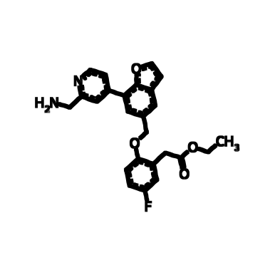 CCOC(=O)Cc1cc(F)ccc1OCc1cc(-c2ccnc(CN)c2)c2occc2c1